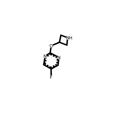 Fc1cnc(OC2CNC2)nc1